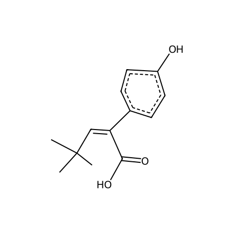 CC(C)(C)C=C(C(=O)O)c1ccc(O)cc1